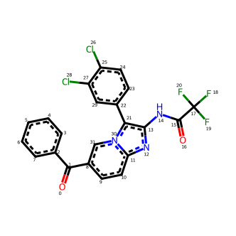 O=C(c1ccccc1)c1ccc2nc(NC(=O)C(F)(F)F)c(-c3ccc(Cl)c(Cl)c3)n2c1